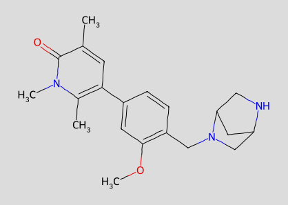 COc1cc(-c2cc(C)c(=O)n(C)c2C)ccc1CN1CC2CC1CN2